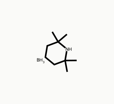 B.CC1(C)CCCC(C)(C)N1